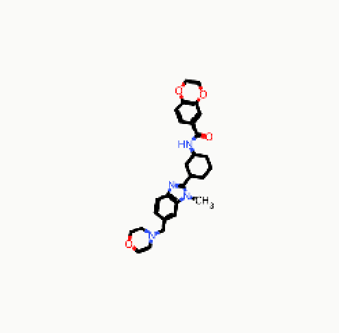 Cn1c(C2CCCC(NC(=O)c3ccc4c(c3)OCCO4)C2)nc2ccc(CN3CCOCC3)cc21